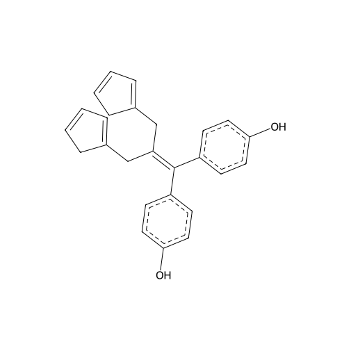 Oc1ccc(C(=C(CC2=CC=CC2)CC2=CC=CC2)c2ccc(O)cc2)cc1